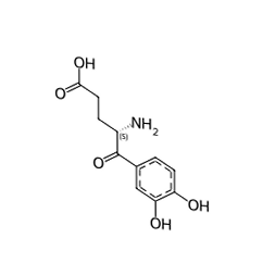 N[C@@H](CCC(=O)O)C(=O)c1ccc(O)c(O)c1